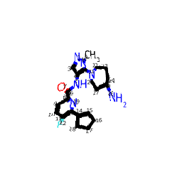 Cn1ncc(NC(=O)c2ccc(F)c(C3=CCCC3)n2)c1N1CCCC(N)CC1